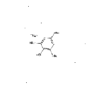 CCCCc1cc(CCCC)c(O)c(CCCC)c1.[NaH]